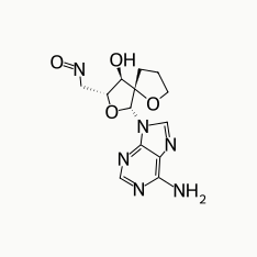 Nc1ncnc2c1ncn2[C@@H]1O[C@H](CN=O)[C@@H](O)[C@@]12CCCO2